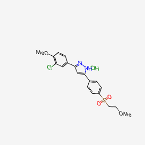 COCCS(=O)(=O)c1ccc(-c2cc(-c3ccc(OC)c(Cl)c3)n[nH]2)cc1.Cl